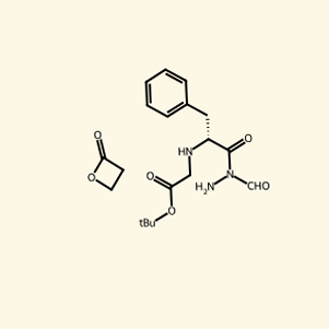 CC(C)(C)OC(=O)CN[C@H](Cc1ccccc1)C(=O)N(N)C=O.O=C1CCO1